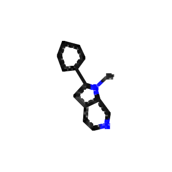 CC(C)n1c(-c2ccccc2)cc2ccncc21